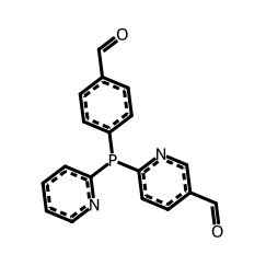 O=Cc1ccc(P(c2ccccn2)c2ccc(C=O)cn2)cc1